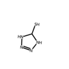 SC1NN=NN1